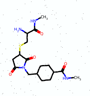 CNC(=O)C(N)CSC1CC(=O)N(CC2CCC(C(=O)NC)CC2)C1=O